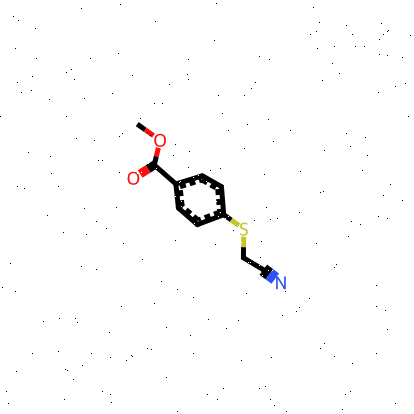 COC(=O)c1ccc(SCC#N)cc1